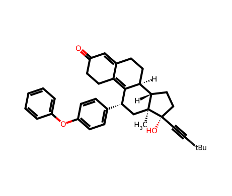 CC(C)(C)C#C[C@]1(O)CC[C@H]2[C@@H]3CCC4=CC(=O)CCC4=C3[C@@H](c3ccc(Oc4ccccc4)cc3)C[C@@]21C